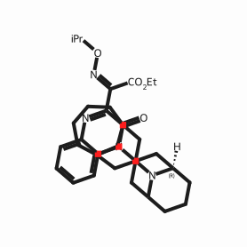 CCOC(=O)C(=NOC(C)C)c1nc2ccccc2n(C2CC3CCC[C@H](C2)N3C2CC3CCCCC(C3)C2)c1=O